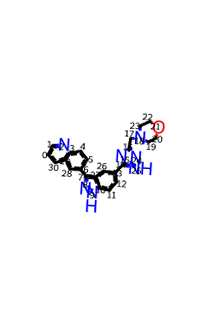 c1cnc2ccc(-c3n[nH]c4ccc(-c5nc(CN6CCOCC6)n[nH]5)cc34)cc2c1